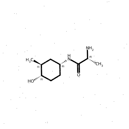 C[C@@H](N)C(=O)N[C@@H]1CC[C@H](O)[C@@H](C)C1